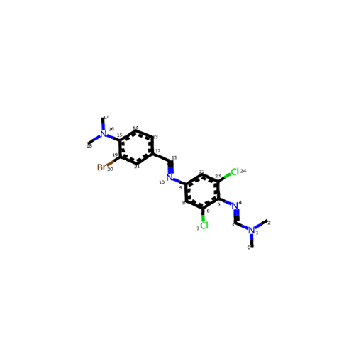 CN(C)C=Nc1c(Cl)cc(N=Cc2ccc(N(C)C)c(Br)c2)cc1Cl